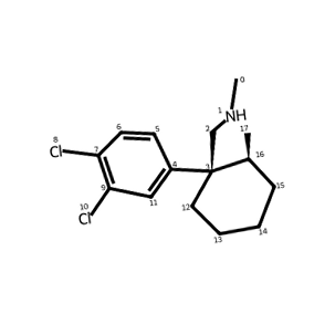 CNC[C@]1(c2ccc(Cl)c(Cl)c2)CCCC[C@@H]1C